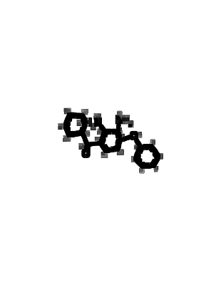 Nc1c(Oc2ccccc2)ccc(C(=O)c2ccccc2)c1N